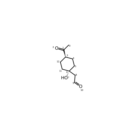 CC(=O)[C@H]1CC[C@@](O)(CC=O)CC1